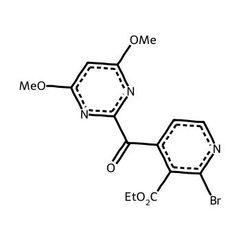 CCOC(=O)c1c(C(=O)c2nc(OC)cc(OC)n2)ccnc1Br